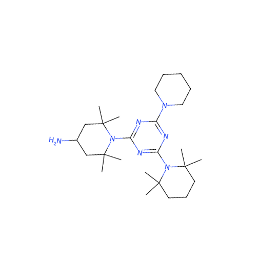 CC1(C)CCCC(C)(C)N1c1nc(N2CCCCC2)nc(N2C(C)(C)CC(N)CC2(C)C)n1